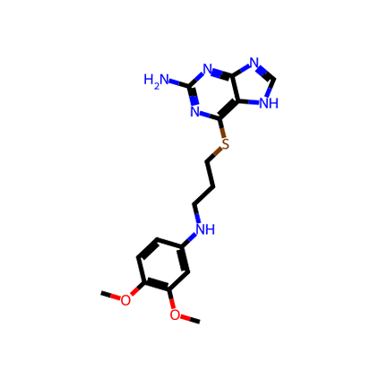 COc1ccc(NCCCSc2nc(N)nc3nc[nH]c23)cc1OC